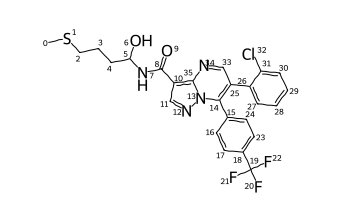 CSCCCC(O)NC(=O)c1cnn2c(-c3ccc(C(F)(F)F)cc3)c(-c3ccccc3Cl)cnc12